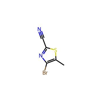 Cc1sc(C#N)nc1Br